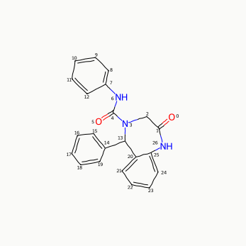 O=C1CN(C(=O)Nc2ccccc2)C(c2ccccc2)c2ccccc2N1